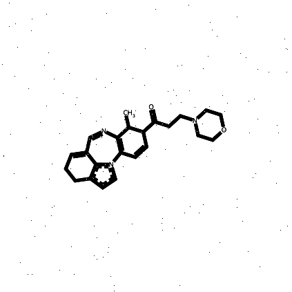 CC1C2=C(C=CC1C(=O)CCN1CCOCC1)n1ccc3c1C(=CCC3)C=N2